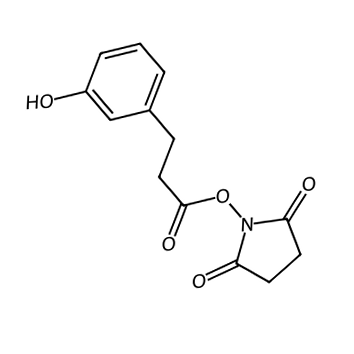 O=C(CCc1cccc(O)c1)ON1C(=O)CCC1=O